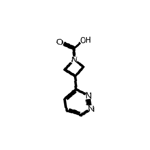 O=C(O)N1CC(c2cccnn2)C1